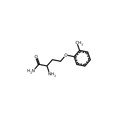 Cc1ccccc1OCCC(N)C(N)=O